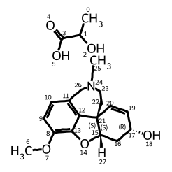 CC(O)C(=O)O.COc1ccc2c3c1O[C@H]1C[C@@H](O)C=C[C@@]31CCN(C)C2